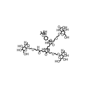 CC(=O)NC1C(OCCOCCNC(=O)CCC(NC(=O)CCC(NC(=O)[C@H]2CC[C@@H](OP(=O)(S)C(C)C)CC2)C(=O)NCCOCCOC2OC(CO)CC(O)(CO)C2NC(C)=O)C(=O)NCCOCCOC2OC(CO)C(O)C(O)C2NC(C)=O)OC(CO)C(O)C1O